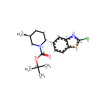 C[C@H]1CC[C@H](c2ccc3sc(Br)nc3c2)N(C(=O)OC(C)(C)C)C1